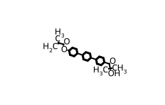 C=C(C)C(=O)Oc1ccc(-c2ccc(-c3ccc(C(=O)C(C)(C)O)cc3)cc2)cc1